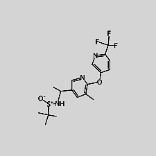 Cc1cc(C(C)N[S+]([O-])C(C)(C)C)cnc1Oc1ccc(C(F)(F)F)nc1